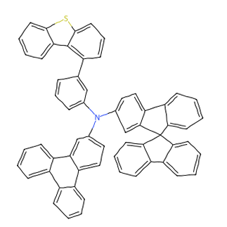 c1cc(-c2cccc3sc4ccccc4c23)cc(N(c2ccc3c(c2)C2(c4ccccc4-c4ccccc42)c2ccccc2-3)c2ccc3c4ccccc4c4ccccc4c3c2)c1